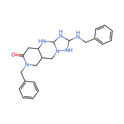 O=C1CC2NC3NC(NCc4ccccc4)NN3CC2CN1Cc1ccccc1